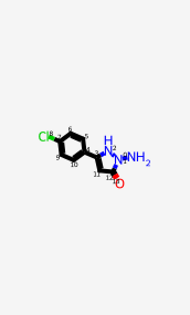 Nn1[nH]c(-c2ccc(Cl)cc2)cc1=O